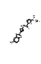 C[S@+]([O-])c1ccc(C(=O)NC23CC(c4nc5cc(Cl)ccc5o4)(C2)C3)o1